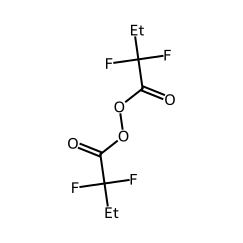 CCC(F)(F)C(=O)OOC(=O)C(F)(F)CC